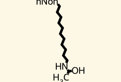 CCCCCCCCCCCCCCCCCCCCNC(C)O